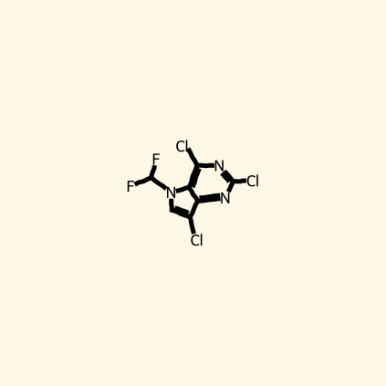 FC(F)n1cc(Cl)c2nc(Cl)nc(Cl)c21